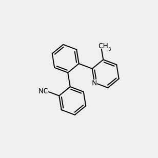 Cc1cccnc1-c1ccccc1-c1ccccc1C#N